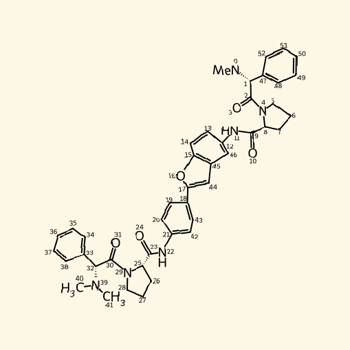 CN[C@@H](C(=O)N1CCC[C@H]1C(=O)Nc1ccc2oc(-c3ccc(NC(=O)[C@@H]4CCCN4C(=O)[C@@H](c4ccccc4)N(C)C)cc3)cc2c1)c1ccccc1